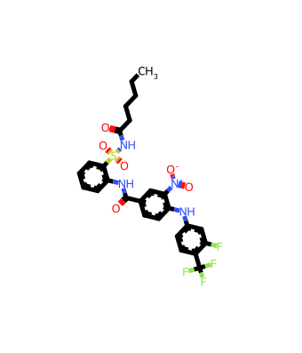 CCCCCC(=O)NS(=O)(=O)c1ccccc1NC(=O)c1ccc(Nc2ccc(C(F)(F)F)c(F)c2)c([N+](=O)[O-])c1